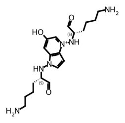 NCCCC[C@@H](C=O)Nn1ccc2c1cc(O)c[n+]2N[C@H](C=O)CCCCN